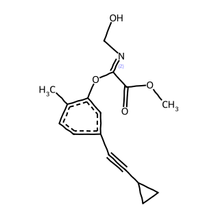 COC(=O)/C(=N/CO)Oc1cc(C#CC2CC2)ccc1C